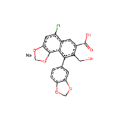 O=C(O)c1cc2c(Cl)cc3c(c2c(-c2ccc4c(c2)OCO4)c1CO)OCO3.[Na]